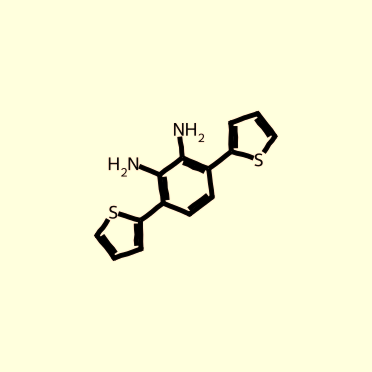 Nc1c(-c2cccs2)ccc(-c2cccs2)c1N